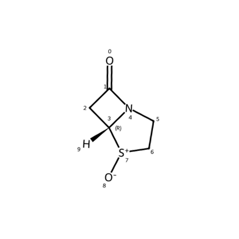 O=C1C[C@@H]2N1CC[S+]2[O-]